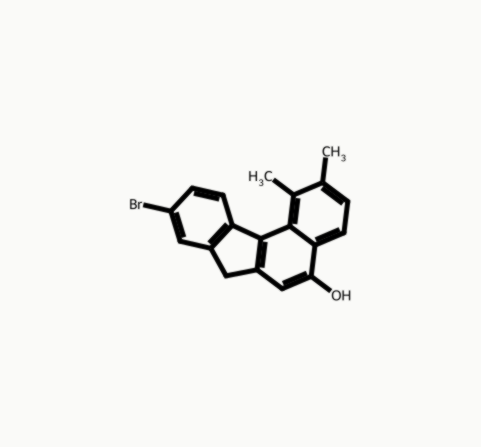 Cc1ccc2c(O)cc3c(c2c1C)-c1ccc(Br)cc1C3